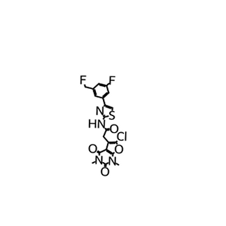 Cn1c(=O)c2c(CC(=O)Nc3nc(-c4cc(F)cc(CF)c4)cs3)c(Cl)oc2n(C)c1=O